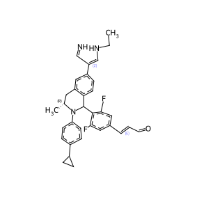 CCN/C=C(\C=N)c1ccc2c(c1)C[C@@H](C)N(c1ccc(C3CC3)cc1)C2c1c(F)cc(/C=C/C=O)cc1F